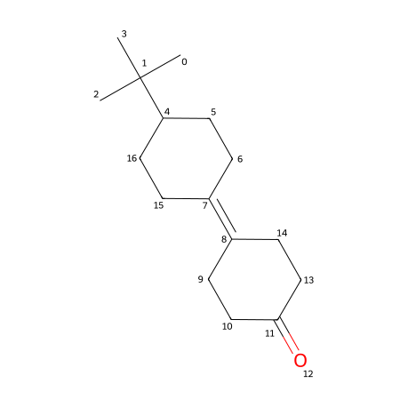 CC(C)(C)C1CCC(=C2CCC(=O)CC2)CC1